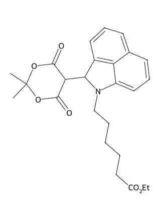 CCOC(=O)CCCCCN1c2cccc3cccc(c23)C1C1C(=O)OC(C)(C)OC1=O